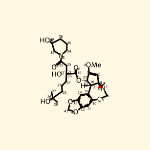 COC1=C[C@]23CCCN2CCc2cc4c(cc2[C@@H]3[C@@H]1OC(=O)[C@@](O)(CCCC(C)(C)O)CC(=O)N1CCCC(O)C1)OCO4